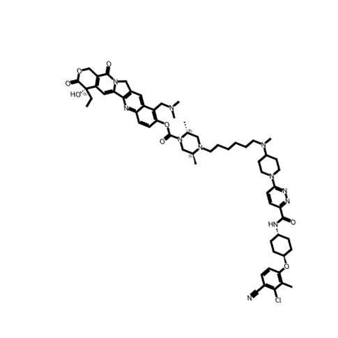 CC[C@@]1(O)C(=O)OCc2c1cc1n(c2=O)Cc2cc3c(CN(C)C)c(OC(=O)N4C[C@H](C)N(CCCCCCN(C)C5CCN(c6ccc(C(=O)N[C@H]7CC[C@H](Oc8ccc(C#N)c(Cl)c8C)CC7)nn6)CC5)C[C@H]4C)ccc3nc2-1